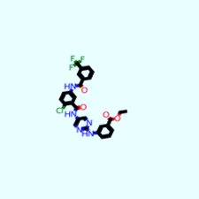 CCOC(=O)c1cccc(Nc2ncc(NC(=O)c3cc(NC(=O)c4cccc(C(F)(F)F)c4)ccc3Cl)cn2)c1